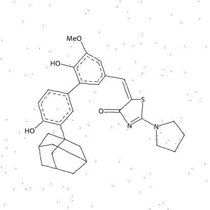 COc1cc(C=C2SC(N3CCCC3)=NC2=O)cc(-c2ccc(O)c(C34CC5CC(CC(C5)C3)C4)c2)c1O